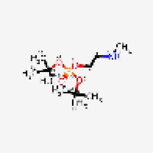 CNCCOP(=O)(OC(C)(C)C)OC(C)(C)C